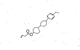 C=CCC(=O)OC1CCC(C2CCC(c3ccc(CC)cc3)CC2)CC1